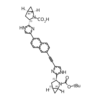 CC(C)(C)OC(=O)N1[C@@H]2C[C@H]2C[C@H]1c1nc(C#Cc2ccc3cc(-c4c[nH]c([C@@H]5C[C@H]6C[C@H]6N5C(=O)O)n4)ccc3c2)c[nH]1